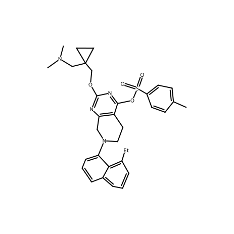 CCc1cccc2cccc(N3CCc4c(nc(OCC5(CN(C)C)CC5)nc4OS(=O)(=O)c4ccc(C)cc4)C3)c12